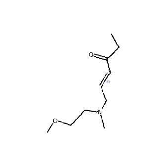 CCC(=O)/C=C/CN(C)CCOC